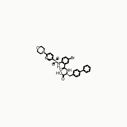 O=C(N[C@@H](Cc1ccc(-c2ccccc2)cc1)C(=O)O)c1cc(Br)ccc1NS(=O)(=O)c1ccc(N2CCOCC2)nc1